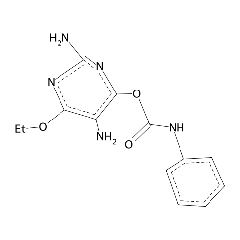 CCOc1nc(N)nc(OC(=O)Nc2ccccc2)c1N